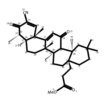 COC(=O)CC[C@]12CCC(C)(C)C[C@@H]1C1C(=O)C=C3[C@@]4(C)C=C(C#N)C(=O)[C@@H](C)[C@@H]4CC[C@@]3(C)[C@]1(C)CC2